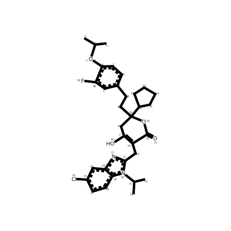 CC(C)Oc1ccc(CCC2(C3CCCC3)CC(O)=C(Cc3nc4cc(Cl)ccc4n3C(C)C)C(=O)O2)cc1F